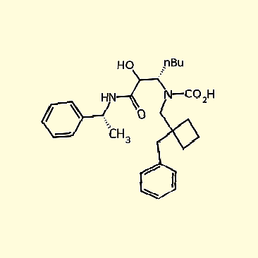 CCCC[C@@H](C(O)C(=O)N[C@H](C)c1ccccc1)N(CC1(Cc2ccccc2)CCC1)C(=O)O